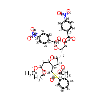 COC(CC1O[C@H](C[C@@H](COC(=O)c2ccc([N+](=O)[O-])cc2)OC(=O)c2ccc([N+](=O)[O-])cc2)[C@H](OC)[C@H]1CS(=O)(=O)c1ccccc1)OC